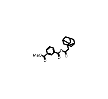 COC(=O)c1cccc(C(=O)OC(=O)CC23CC4CC(CC(C4)C2)C3)c1